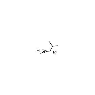 CC(C)C[SiH2-].[K+]